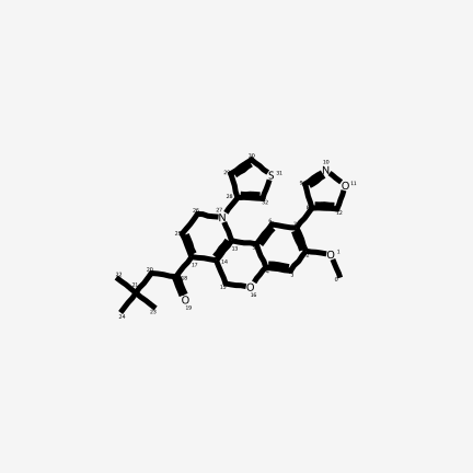 COc1cc2c(cc1-c1cnoc1)C1=C(CO2)C(C(=O)CC(C)(C)C)=CCN1c1ccsc1